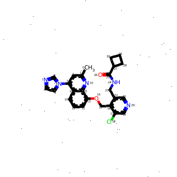 Cc1cc(-n2ccnc2)c2cccc(OCc3c(Cl)cncc3CNC(=O)C3CCC3)c2n1